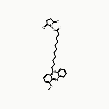 COc1cccc2c1nc1ccccc1[n+]2CCCCCCCCCCC(=O)ON1C(=O)CCC1=O